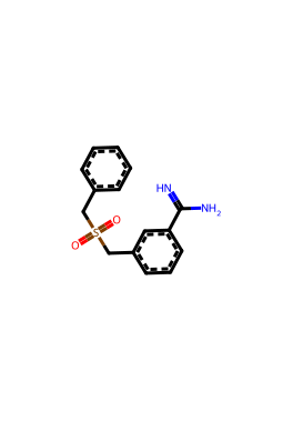 N=C(N)c1cccc(CS(=O)(=O)Cc2ccccc2)c1